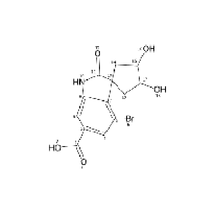 O=C(O)c1cc(Br)c2c(c1)NC(=O)C21CC(O)C(O)C1